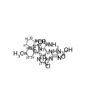 C=C(N)/C(=C(\N=C(/N)C1=NO[C@@H](O)N1)c1cncc(Cl)c1)N(C[C@H]1CC[C@H](C)CC1)C(=C)C1(F)CCCCC1